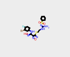 N/C(=N\S(=O)(=O)c1ccccc1)NCCSc1nonc1/C(=N/O)Nc1ccc(F)c(Br)c1